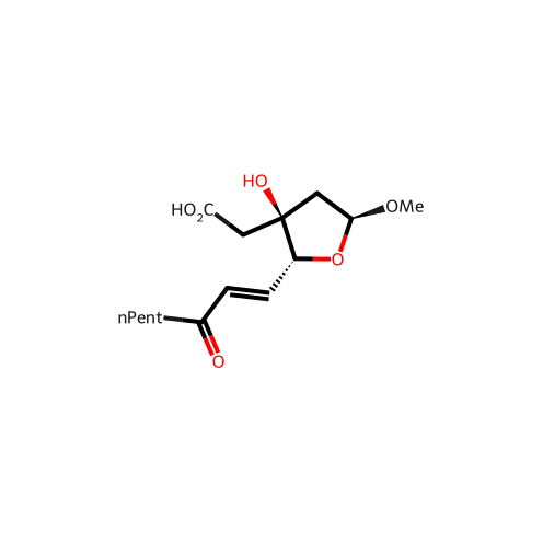 CCCCCC(=O)C=C[C@H]1O[C@H](OC)C[C@@]1(O)CC(=O)O